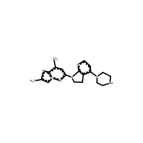 Cc1cn2nc(N3CCc4c(N5CCNCC5)ccnc43)cc(C)c2n1